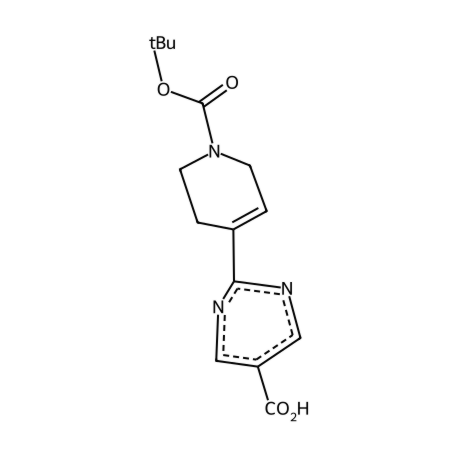 CC(C)(C)OC(=O)N1CC=C(c2ncc(C(=O)O)cn2)CC1